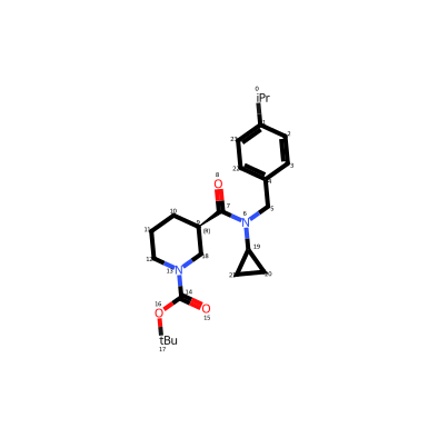 CC(C)c1ccc(CN(C(=O)[C@@H]2CCCN(C(=O)OC(C)(C)C)C2)C2CC2)cc1